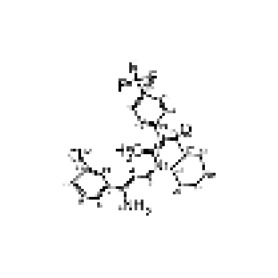 C=C(/N=C\C=C(/N)c1cccc(Cl)c1)N(C(=O)C1CCCCC1)c1ccc(C(F)(F)F)cc1